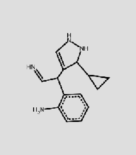 N=CC(C1=CNNC1C1CC1)c1ccccc1N